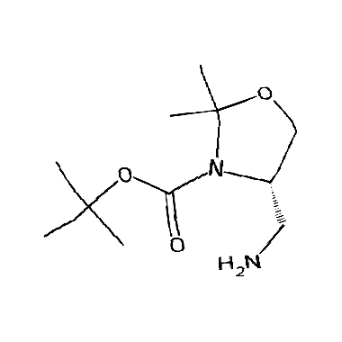 CC(C)(C)OC(=O)N1[C@@H](CN)COC1(C)C